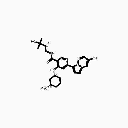 CO[C@@H]1CCC[C@H](Nc2cc(-c3ccc4cc(C#N)cnn34)ncc2C(=O)NC[C@@H](F)C(C)(C)O)C1